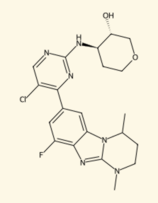 CC1CCN(C)c2nc3c(F)cc(-c4nc(N[C@@H]5CCOC[C@H]5O)ncc4Cl)cc3n21